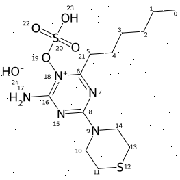 CCCCCCc1nc(N2CCSCC2)nc(N)[n+]1OS(=O)(=O)O.[OH-]